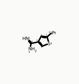 CC(C)c1cc(C(=N)N)cs1